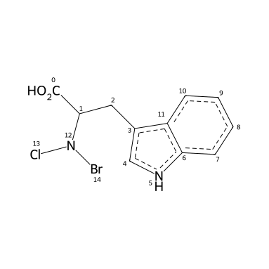 O=C(O)C(Cc1c[nH]c2ccccc12)N(Cl)Br